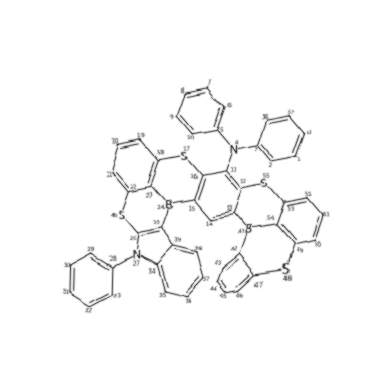 c1ccc(N(c2ccccc2)c2c3c(cc4c2Sc2cccc5c2B4c2c(n(-c4ccccc4)c4ccccc24)S5)B2c4ccccc4Sc4cccc(c42)S3)cc1